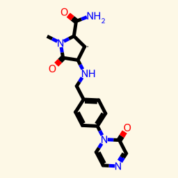 CN1C(=O)C(NCc2ccc(-n3ccncc3=O)cc2)[CH]C1C(N)=O